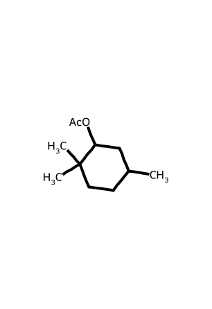 CC(=O)OC1CC(C)CCC1(C)C